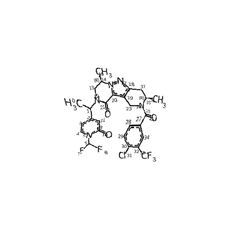 CC(c1ccn(C(F)F)c(=O)c1)N1C[C@@H](C)n2nc3c(c2C1=O)CN(C(=O)c1ccc(Cl)c(C(F)(F)F)c1)[C@H](C)C3